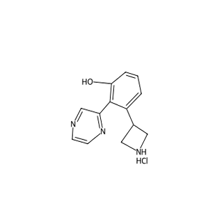 Cl.Oc1cccc(C2CNC2)c1-c1cnccn1